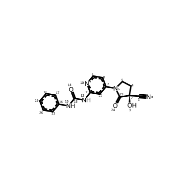 N#C[C@@]1(O)CCN(c2ccnc(NC(=O)Nc3ccccc3)c2)C1=O